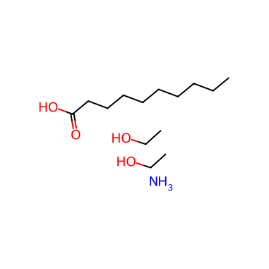 CCCCCCCCCC(=O)O.CCO.CCO.N